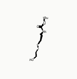 CC(C)(C)OC(=O)NCCSSCCO